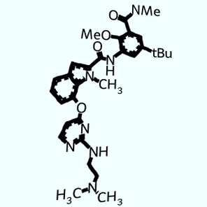 CNC(=O)c1cc(C(C)(C)C)cc(NC(=O)c2cc3cccc(Oc4ccnc(NCCN(C)C)n4)c3n2C)c1OC